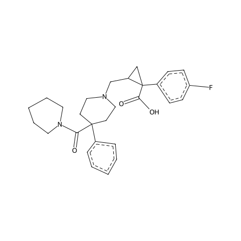 O=C(N1CCCCC1)C1(c2ccccc2)CCN(CC2CC2(C(=O)O)c2ccc(F)cc2)CC1